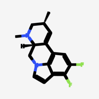 C[C@@H]1C=C2c3cc(F)c(F)c4ccn(c34)C[C@H]2N(C)C1